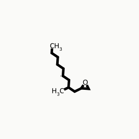 CCCCC[CH]CC(C)CC1CO1